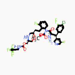 COC(=O)N(C(=O)[C@@H](N)[C@H](c1cncc(F)c1)c1ccc(Cl)c(F)c1)c1cccc(F)c1CC[C@@H]1CN[C@H](COC(=O)NCC(F)(F)F)CO1